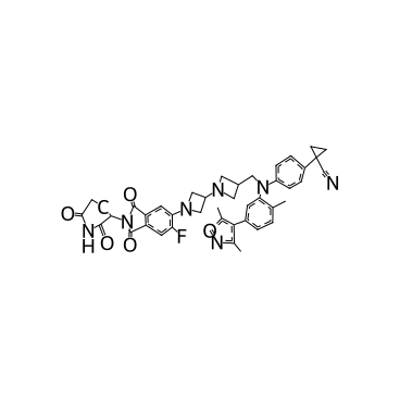 Cc1ccc(-c2c(C)noc2C)cc1N(CC1CN(C2CN(c3cc4c(cc3F)C(=O)N(C3CCC(=O)NC3=O)C4=O)C2)C1)c1ccc(C2(C#N)CC2)cc1